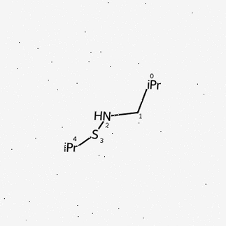 CC(C)CNSC(C)C